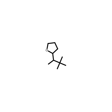 CC(C1CCCO1)C(C)(C)C